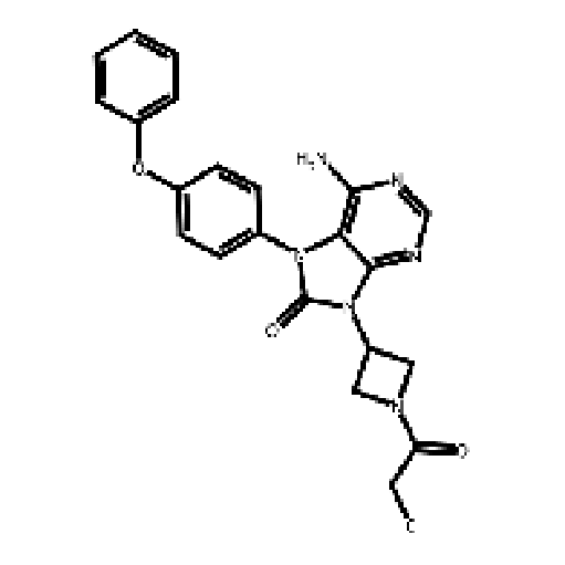 Nc1ncnc2c1n(-c1ccc(Oc3ccccc3)cc1)c(=O)n2C1CN(C(=O)CCl)C1